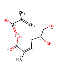 C=C(C)C(=O)O.CC(=CCC(O)CO)C(=O)O